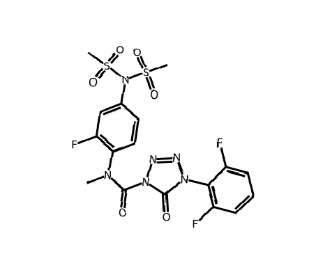 CN(C(=O)n1nnn(-c2c(F)cccc2F)c1=O)c1ccc(N(S(C)(=O)=O)S(C)(=O)=O)cc1F